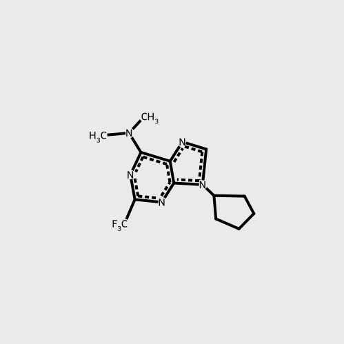 CN(C)c1nc(C(F)(F)F)nc2c1ncn2C1CCCC1